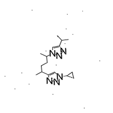 CC(C)c1cn(C(C)CCC(C)c2cn(C3CC3)nn2)nn1